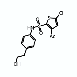 CC(=O)c1cc(Cl)sc1S(=O)(=O)Nc1ccc(CCO)cc1